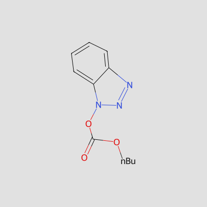 CCCCOC(=O)On1nnc2ccccc21